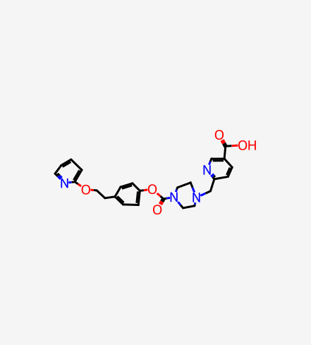 O=C(O)c1ccc(CN2CCN(C(=O)Oc3ccc(CCOc4ccccn4)cc3)CC2)nc1